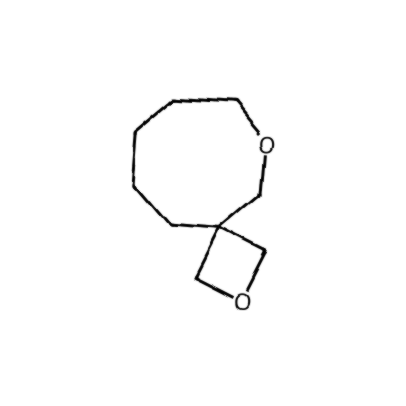 C1CCOCC2(CC1)COC2